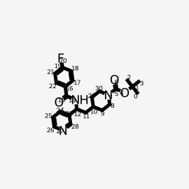 CC(C)(C)OC(=O)N1CCC(CC(NC(=O)c2ccc(F)cc2)c2cccnc2)CC1